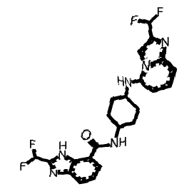 O=C(NC1CCC(Nc2cccc3nc(C(F)F)cn23)CC1)c1cccc2nc(C(F)F)[nH]c12